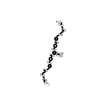 C=CC(=O)OCCOC(=O)CCC(=O)OCCc1ccc(OC(=O)C2CCC(C(=O)Oc3ccc(OC(=O)C4CCC(C(=O)Oc5ccc(CCOC(=O)CCC(=O)OCCOC(=O)C=C)cc5)CC4)c4c3SC(=C(C#N)C#N)S4)CC2)cc1